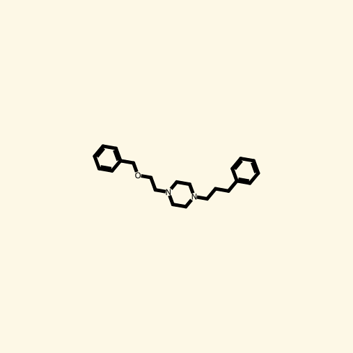 c1ccc(CCCN2CCN(CCOCc3ccccc3)CC2)cc1